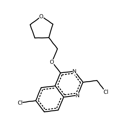 ClCc1nc(OCC2CCOC2)c2cc(Cl)ccc2n1